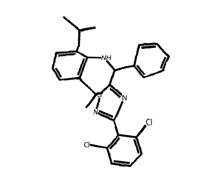 CC(C)c1cccc(C(C)C)c1NC(c1ccccc1)c1nc(-c2c(Cl)cccc2Cl)no1